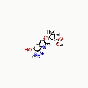 COC(=O)[C@H]1C[C@H](Oc2ccc(-c3nnn(C)c3CO)nc2C)[C@H]2C[C@H]21